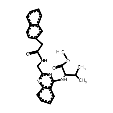 COC(=O)[C@@H](Nc1nc(CNC(=O)Cc2ccc3ccccc3c2)nc2ccccc12)C(C)C